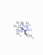 C=CC(NC)C(C)(NC)NC